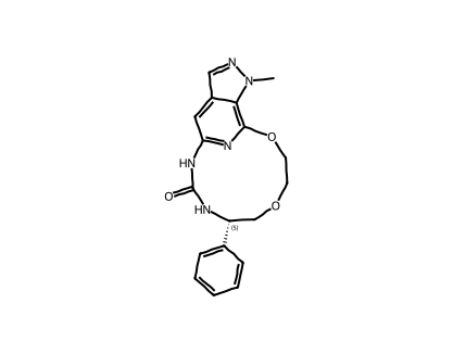 Cn1ncc2cc3nc(c21)OCCOC[C@H](c1ccccc1)NC(=O)N3